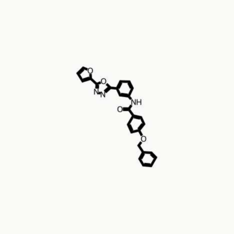 O=C(Nc1cccc(-c2nnc(-c3ccco3)o2)c1)c1ccc(OCc2ccccc2)cc1